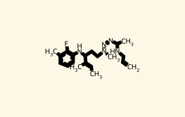 C=CCNC(C)/N=N\N(C)CCC(Nc1cccc(C)c1F)/C(C)=C/C